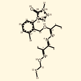 CC/C(=N/N=C(C)/C(C)=N/OCSC)OCc1c(C)cccc1-n1nnn(C)c1=O